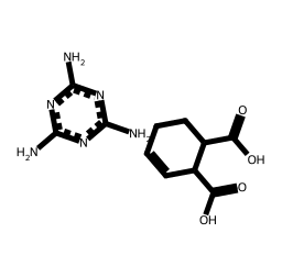 Nc1nc(N)nc(N)n1.O=C(O)C1C=CCCC1C(=O)O